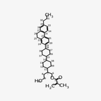 C=C(C)C(=O)OCC(CCO)C1CCC(C2CCC(c3ccc4c(c3)CCc3cc(CCC)ccc3-4)CC2)CC1